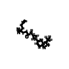 C#CCCC1(CCC(=O)N(C)C2CN(c3ccc4nnc(C(C)(C)C)n4n3)C2)N=N1